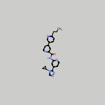 CCCc1ccc(-c2ccnc(C(=O)Nc3cc(-c4nncn4C4CC4)ccn3)c2)cn1